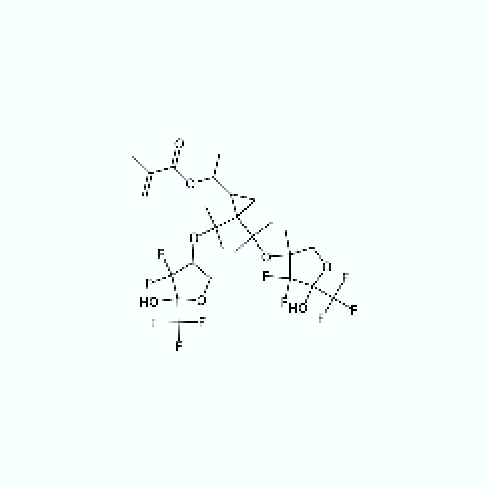 C=C(C)C(=O)OC(C)C1CC1(C(C)(C)OC1COC(O)(C(F)(F)F)C1(F)F)C(C)(C)OC1(C)COC(O)(C(F)(F)F)C1(F)F